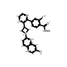 CNC(=O)c1ccc(-c2nccnc2C2CN(c3ccc4ncc(Cl)cc4n3)C2)cc1F